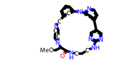 COCC1C(=O)NCCCNc2ncc(cn2)-c2ccnc(c2)Nc2cccc(c2)CN2CCN1CC2